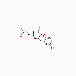 CC(=O)CCc1cc(I)c(Oc2ccc(O)cc2)c(I)c1